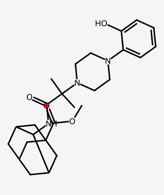 COC(=O)C12CC3CC(C1)C(NC(=O)C(C)(C)N1CCN(c4ccccc4O)CC1)C(C3)C2